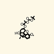 COc1ccc2c3c1OC1C(OC(=O)C(C)OC(=O)OC(C)(C)C)=CCC4(O)C(C2)N(C)CCC314